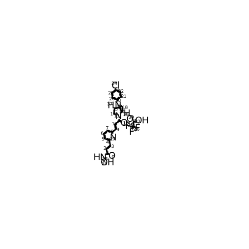 O=C(C=Cc1cccc(C=CC(=O)N2C[C@@H]3C[C@H]2CN3c2ccc(Cl)cc2)n1)NO.O=C(O)C(F)(F)F